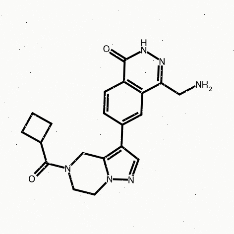 NCc1n[nH]c(=O)c2ccc(-c3cnn4c3CN(C(=O)C3CCC3)CC4)cc12